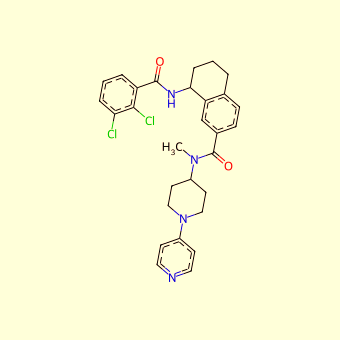 CN(C(=O)c1ccc2c(c1)C(NC(=O)c1cccc(Cl)c1Cl)CCC2)C1CCN(c2ccncc2)CC1